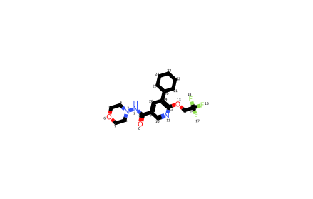 O=C(NN1CCOCC1)c1cnc(OCC(F)(F)F)c(C2CCCCC2)c1